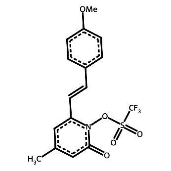 COc1ccc(C=Cc2cc(C)cc(=O)n2OS(=O)(=O)C(F)(F)F)cc1